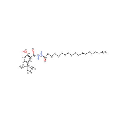 CCCCCCCCCCCCCCCCCC(=O)NNC(=O)c1cc(C(C)(C)C)ccc1O